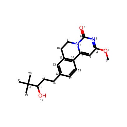 COc1cc2n(c(=O)n1)CCc1cc(CCC(O)C(C)(C)C)ccc1-2